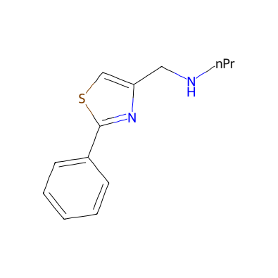 CCCNCc1csc(-c2ccccc2)n1